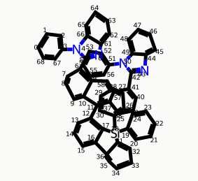 c1ccc(-n2c(-c3cccc4c(-c5cccc6c5[Si](c5ccccc5)(c5ccccc5)c5ccccc5-6)c5cccc(-c6nc7ccccc7n6-c6ccccc6)c5cc34)nc3ccccc32)cc1